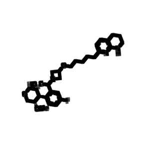 CO[C@@H]1COCC[C@H]1c1ccc(F)cc1C(C(=O)O)N1CC(OCCCCCc2ccc3c(n2)NCCC3)C1